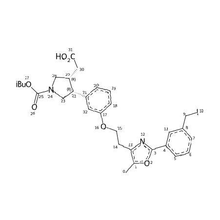 Cc1oc(-c2cccc(CI)c2)nc1CCOc1cccc([C@@H]2CN(C(=O)OCC(C)C)C[C@@H]2CC(=O)O)c1